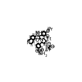 CCOc1cc(C(C(=O)N2CCCC2c2cccc(S(N)(=O)=O)c2)N(N)c2ccc3cnccc3c2)ccc1OC(C)C.O=C(O)C(F)(F)F